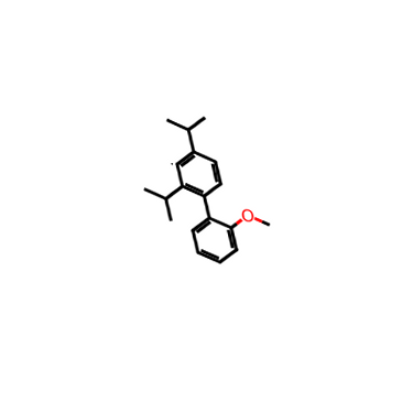 COc1ccccc1-c1ccc(C(C)C)[c]c1C(C)C